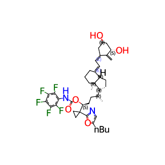 C=C1/C(=C\C=C2/CCC[C@]3(C)[C@@H]([C@H](C)CC[C@H](OC(=O)Nc4c(F)c(F)c(F)c(F)c4F)C4(c5ncc(CCCC)o5)CC4)CC[C@@H]23)C[C@@H](O)C[C@@H]1O